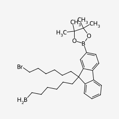 BCCCCCCC1(CCCCCCBr)c2ccccc2-c2ccc(B3OC(C)(C)C(C)(C)O3)cc21